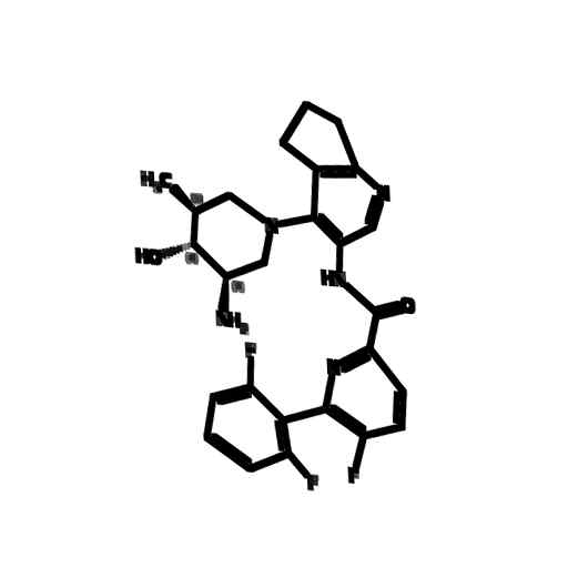 C[C@H]1CN(c2c(NC(=O)c3ccc(F)c(-c4c(F)cccc4F)n3)cnc3c2CCC3)C[C@@H](N)[C@@H]1O